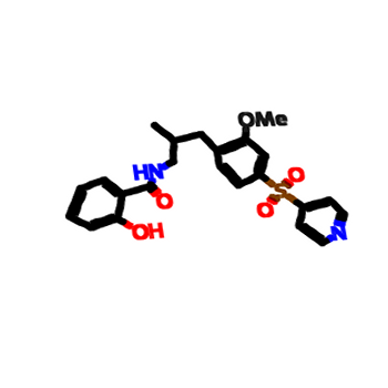 COc1cc(S(=O)(=O)c2ccncc2)ccc1CC(C)CNC(=O)c1ccccc1O